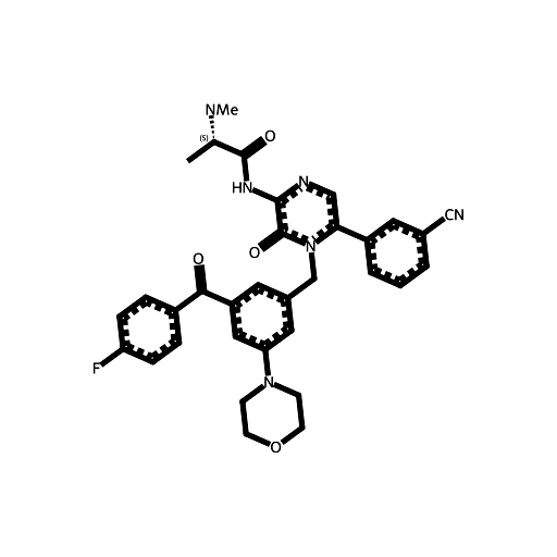 CN[C@@H](C)C(=O)Nc1ncc(-c2cccc(C#N)c2)n(Cc2cc(C(=O)c3ccc(F)cc3)cc(N3CCOCC3)c2)c1=O